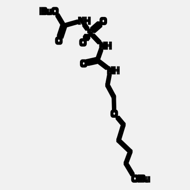 CC(C)COCCCCOCCNC(=O)NS(=O)(=O)NC(=O)OCC(C)C